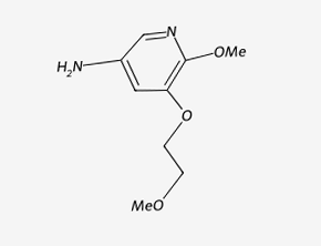 COCCOc1cc(N)cnc1OC